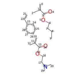 C=C(C)C(=O)OCCCC.C=C(C)C(=O)OCCN(C)C.C=Cc1ccccc1